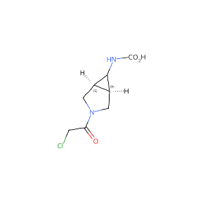 O=C(O)NC1[C@H]2CN(C(=O)CCl)C[C@@H]12